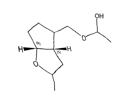 CC(O)OCC1CC[C@H]2OC(C)C[C@@H]12